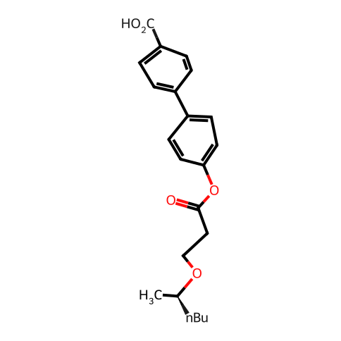 CCCC[C@@H](C)OCCC(=O)Oc1ccc(-c2ccc(C(=O)O)cc2)cc1